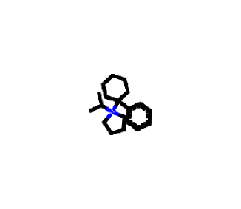 CC(C)[N+]1(C2(c3ccccc3)CCCCC2)CCCC1